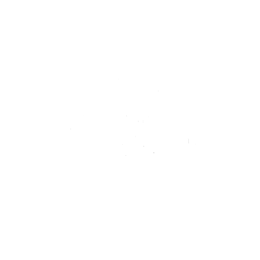 CCOC(=O)CC(O)(CC(=O)OCC)C(=O)OCC.CCOC(C)OCC